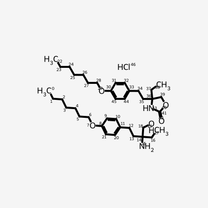 CCCCCCCOc1ccc(CCC(N)(CC)CO)cc1.CCCCCCCOc1ccc(CCC2(CC)COC(=O)N2)cc1.Cl